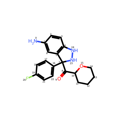 Nc1ccc2c(c1)C(C(=O)C1CCCCO1)(c1ccc(F)cc1)NN2